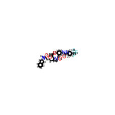 CN(C(=O)C[C@@H]1CC[C@H]2[C@H](COc3ccc(NC(=O)c4ccc(C(F)(F)F)cc4)cc3C(=O)N2C)O1)C1Cc2ccccc2C1